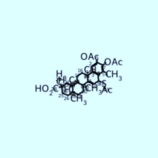 CC(=O)Oc1cc2c(c(C)c1OC(C)=O)C(SC(C)=O)C=C1[C@@]2(C)CC[C@@]2(C)[C@@H]3C[C@](C)(C(=O)O)CC[C@]3(C)CC[C@]12C